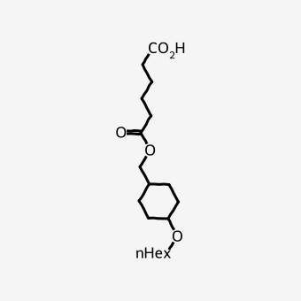 CCCCCCOC1CCC(COC(=O)CCCCC(=O)O)CC1